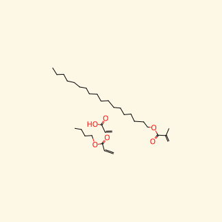 C=C(C)C(=O)OCCCCCCCCCCCCCCCCCC.C=CC(=O)O.C=CC(=O)OCCCC